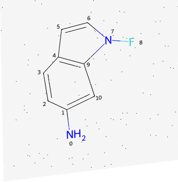 Nc1ccc2ccn(F)c2c1